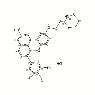 Cl.Oc1ccc2c(Oc3ccc(OCCC4CCCCN4)cc3)c(-c3cc(F)c(F)c(F)c3)ccc2c1